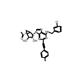 CC(=O)[C@]12CC1[C@@H](n1cnc3c(NCc4cccc(Cl)c4)nc(C#Cc4ccc(C)cc4)nc31)[C@H](O)C2O